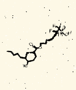 CCCCCC1CC(C(=O)OCCCCC(F)(F)C(F)(F)S(=O)(=O)O)CCC1O